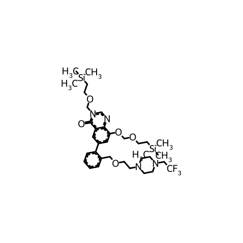 C[Si](C)(C)CCOCOc1cc(-c2ccccc2COCCN2CCN(CC(F)(F)F)CC2)cc2c(=O)n(COCC[Si](C)(C)C)cnc12